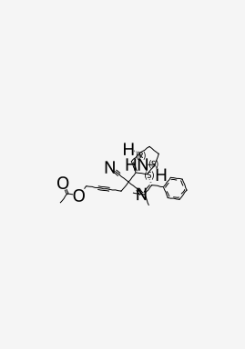 CC(=O)OCC#CCC(C#N)(C#N)C1=C[C@H]2CC[C@H](N2)[C@@H]1C(=C(C)C)c1ccccc1